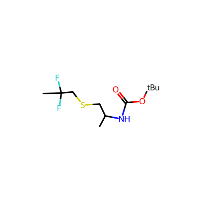 CC(CSCC(C)(F)F)NC(=O)OC(C)(C)C